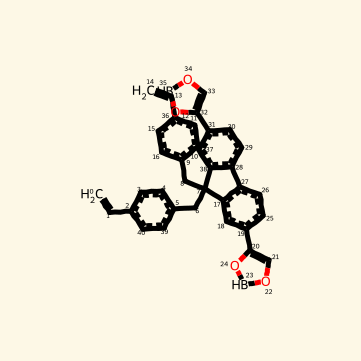 C=Cc1ccc(CC2(Cc3ccc(C=C)cc3)c3cc(C4=COBO4)ccc3-c3ccc(C4=COBO4)cc32)cc1